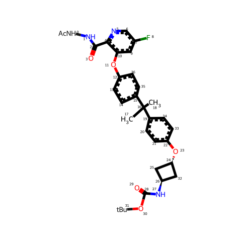 CC(=O)NNC(=O)c1ncc(F)cc1Oc1ccc(C(C)(C)c2ccc(O[C@H]3C[C@H](NC(=O)OC(C)(C)C)C3)cc2)cc1